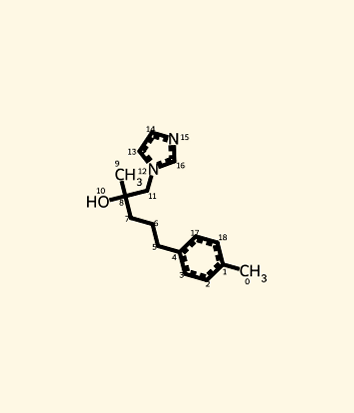 Cc1ccc(CCCC(C)(O)Cn2ccnc2)cc1